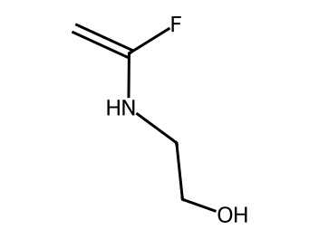 C=C(F)NCCO